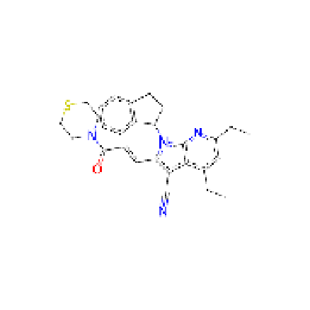 CCc1cc(CC)c2c(C#N)c(C=CC(=O)N3CCSCC3)n(C3CCc4ccccc43)c2n1